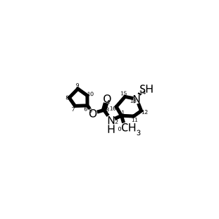 CC1(NC(=O)OC2CCCC2)CCN(S)CC1